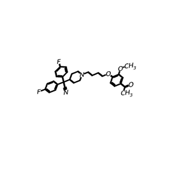 COc1cc(C(C)=O)ccc1OCCCCN1CCC(C(C#N)(c2ccc(F)cc2)c2ccc(F)cc2)CC1